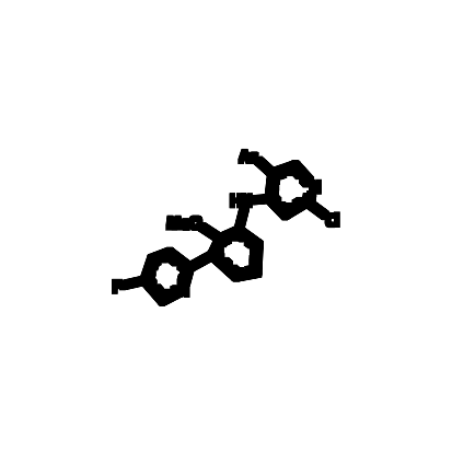 COc1c(Nc2cc(Cl)ncc2C(C)=O)cccc1-c1ccc(F)cn1